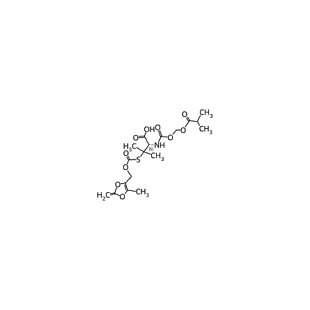 C=C1OC(C)=C(COC(=O)SC(C)(C)[C@@H](NC(=O)OCOC(=O)C(C)C)C(=O)O)O1